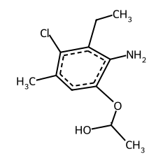 CCc1c(N)c(O[C](C)O)cc(C)c1Cl